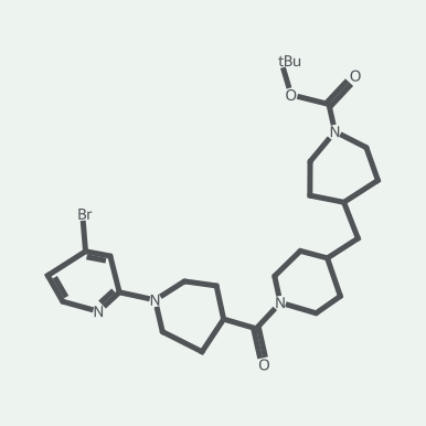 CC(C)(C)OC(=O)N1CCC(CC2CCN(C(=O)C3CCN(c4cc(Br)ccn4)CC3)CC2)CC1